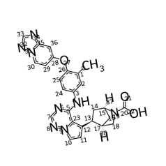 Cc1cc(Nc2ncnn3ccc([C@H]4C[C@@H]5C[C@H]4CN5C(=O)O)c23)ccc1Oc1ccn2ncnc2c1